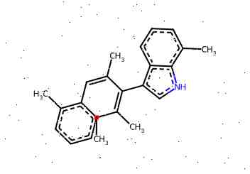 CC/C(C)=C(\C(C)=C/c1ccccc1C)c1c[nH]c2c(C)cccc12